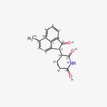 Cc1ccc2c3c(cccc13)C(=O)C2C1CCC(=O)NC1=O